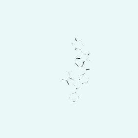 Cn1c(=O)n(C2CCC(=O)NC2=O)c2cccc(C(=O)N3CCC(OC(C4CCCCC4)n4cc(N)c(C(F)F)n4)CC3)c21